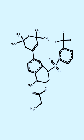 CCC(=O)O[C@H]1CN(S(=O)(=O)c2cccc(C(F)(F)F)c2)c2cc(C3=CC(C)(C)OC(C)(C)C3)ccc2N1C